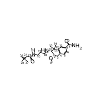 CO[C@H]1Cc2ccc(C(N)=O)cc2C(C)(C)[C@@H]1NCCCNC(=O)CC(C)(C)C